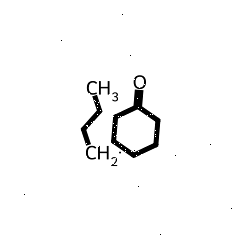 O=C1CCCCC1.[CH2]CCC